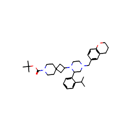 CC(C)c1ccccc1C1CN(Cc2ccc3c(c2)CCCO3)CCN1C1CC2(CCN(C(=O)OC(C)(C)C)CC2)C1